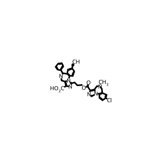 C#Cc1ccc2c(c1)C(c1ccccc1)=NCc1c(C(=O)O)nc(CCCOC(=O)c3ncn4c3CN(C)Cc3cc(Cl)ccc3-4)n1-2